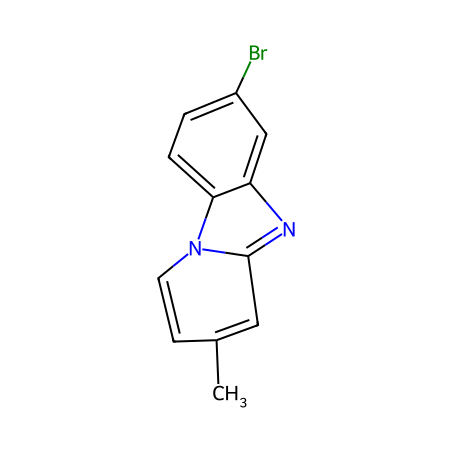 Cc1ccn2c(c1)nc1cc(Br)ccc12